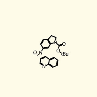 CC(C)(C)OC(=O)N1CCc2ccc([N+](=O)[O-])cc21.c1ccc2ncccc2c1